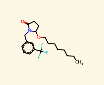 CCCCCCCCOC1CCC(=O)N1Cc1cccc(C(F)(F)F)c1